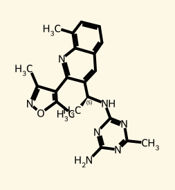 Cc1nc(N)nc(N[C@@H](C)c2cc3cccc(C)c3nc2-c2c(C)noc2C)n1